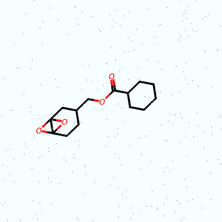 O=C(OCC1CCC23OC2(C1)O3)C1CCCCC1